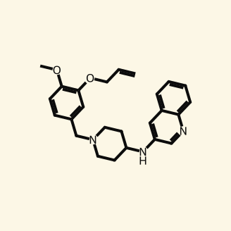 C=CCOc1cc(CN2CCC(Nc3cnc4ccccc4c3)CC2)ccc1OC